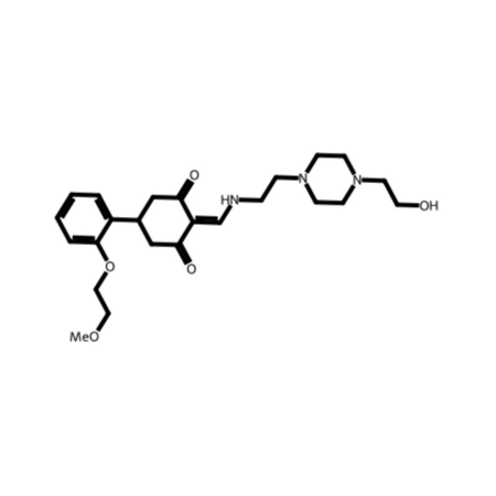 COCCOc1ccccc1C1CC(=O)C(=CNCCN2CCN(CCO)CC2)C(=O)C1